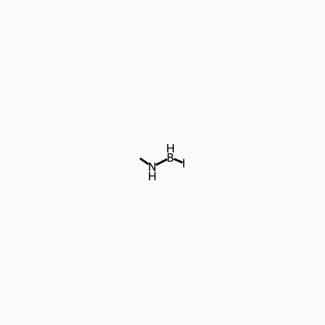 CNBI